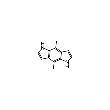 Cc1c2cc[nH]c2c(C)c2cc[nH]c12